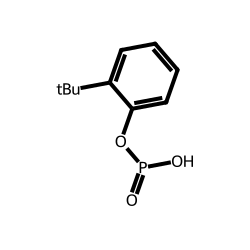 CC(C)(C)c1ccccc1O[P](=O)O